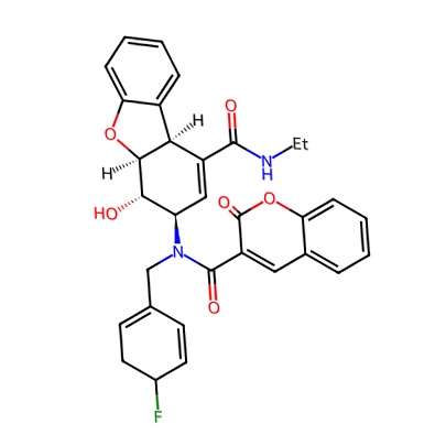 CCNC(=O)C1=C[C@@H](N(CC2=CCC(F)C=C2)C(=O)c2cc3ccccc3oc2=O)[C@H](O)[C@H]2Oc3ccccc3[C@@H]12